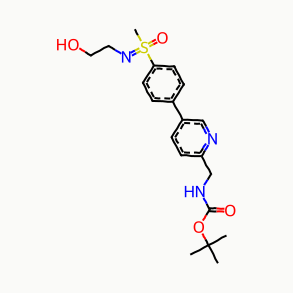 CC(C)(C)OC(=O)NCc1ccc(-c2ccc(S(C)(=O)=NCCO)cc2)cn1